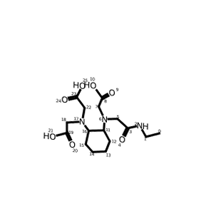 CCNC(=O)CN(CC(=O)O)C1CCCCC1N(CC(=O)O)CC(=O)O